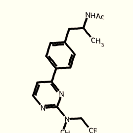 CC(=O)NC(C)Cc1ccc(-c2ccnc(N(C)CC(F)(F)F)n2)cc1